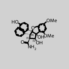 COc1cc(OC)c2c(c1)O[C@]1(c3ccc(O)cc3)[C@@H](c3ccccc3)[C@H](C(N)=O)[C@H](O)[C@]21O